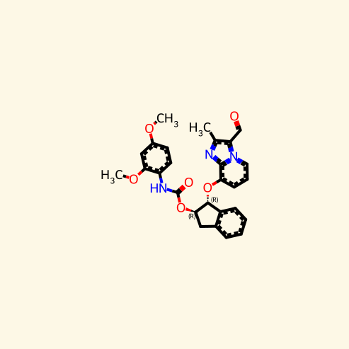 COc1ccc(NC(=O)O[C@@H]2Cc3ccccc3[C@H]2Oc2cccn3c(C=O)c(C)nc23)c(OC)c1